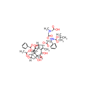 CC(=O)OC[C@@]12CO[C@@H]1C[C@H](O)[C@@]1(C)C(=O)[C@H](O)C3=C(C)[C@@H](OC(=O)[C@H](OC(=O)CN(C)CC(=O)O)[C@@H](NC(=O)OC(C)(C)C)c4ccccc4)[C@H]4C[C@@](O)([C@@H](OC(=O)c5ccccc5)[C@H]21)[C@@]34C